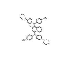 Cc1cc(N(c2ccc(C(C)C)cc2)c2ccc(C3CCCCC3)cc2)c2ccccc2c1N(c1ccc(C(C)C)cc1)c1ccc(C2CCCCC2)cc1